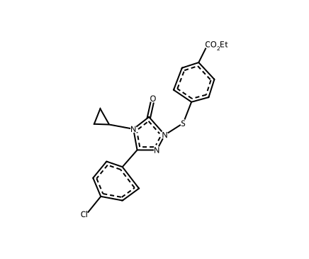 CCOC(=O)c1ccc(Sn2nc(-c3ccc(Cl)cc3)n(C3CC3)c2=O)cc1